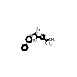 CC(C)c1csc(C(O)C(C)N[C@H]2CC[C@H](c3ccccc3)CC2)c1